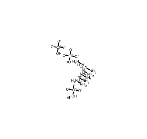 NN.NN.NN.NN.NN.NN.[Al].[O-][Cl+3]([O-])([O-])O.[O-][Cl+3]([O-])([O-])O.[O-][Cl+3]([O-])([O-])O